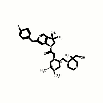 C[C@@H]1CN(CC(=O)N2CC(C)(C)c3cnc(Cc4ccc(F)cc4)cc32)[C@@H](CN2CCOCC2(C)CO)CN1C(=O)O